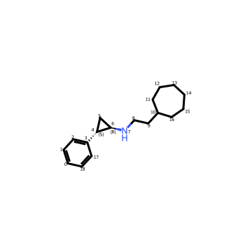 c1ccc([C@@H]2C[C@H]2NCCC2CCCCCC2)cc1